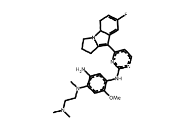 COc1cc(N(C)CCN(C)C)c(N)cc1Nc1nccc(C2=C3CCCN3C3CC=C(F)C=C23)n1